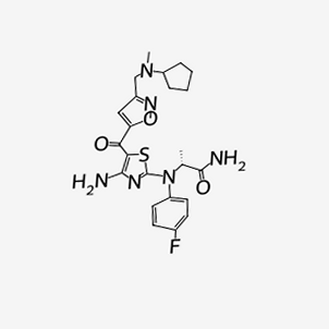 C[C@H](C(N)=O)N(c1ccc(F)cc1)c1nc(N)c(C(=O)c2cc(CN(C)C3CCCC3)no2)s1